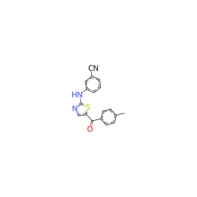 Cc1ccc(C(=O)c2cnc(Nc3cccc(C#N)c3)s2)cc1